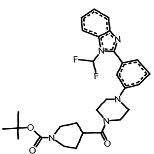 CC(C)(C)OC(=O)N1CCC(C(=O)N2CCN(c3cccc(-c4nc5ccccc5n4C(F)F)c3)CC2)CC1